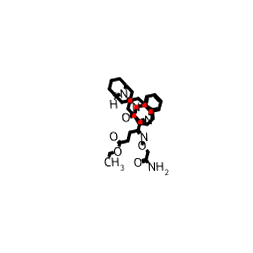 CCOC(=O)CCC(=NOCC(N)=O)c1nc2ccccc2n(C2CC3CCC[C@H](C2)N3C2CC3CCCCC(C3)C2)c1=O